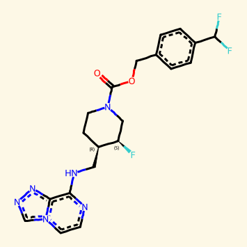 O=C(OCc1ccc(C(F)F)cc1)N1CC[C@H](CNc2nccn3cnnc23)[C@H](F)C1